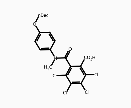 CCCCCCCCCCOc1ccc(N(C)C(=O)c2c(Cl)c(Cl)c(Cl)c(Cl)c2C(=O)O)cc1